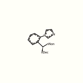 CCCCCCCCCC[C@H](CCCCCCCCC)c1ccccc1-n1ccnc1